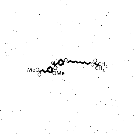 C=C(C)C(=O)OCCCCCCCCCCOc1ccc(C(=O)Oc2ccc(C=CC(=O)OC)cc2OC)cc1